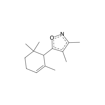 CC1=CCCC(C)(C)C1c1onc(C)c1C